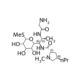 CCC[C@@H]1C[C@@H](C(=O)N[C@@H](C2OC(SC)C(O)C(O)C2O)[C@H](C)NC(=O)CN)N(C)C1